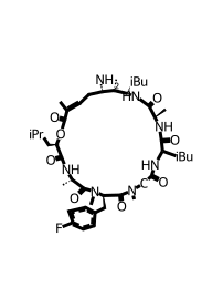 CCC(C)C1NC(=O)CN(C)C(=O)[C@@H](Cc2ccc(F)cc2)N(C)C(=O)[C@H](C)NC(=O)[C@@H](CC(C)C)OC(=O)/C(C)=C/C[C@H](N)[C@H](C)[C@@H]([C@@H](C)CC)NC(=O)[C@@H](C)NC1=O